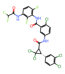 O=C(Nc1c(F)ccc(NC(=O)C(F)F)c1F)c1cc(NC(=O)C2[C@H](c3ccc(Cl)c(Cl)c3)C2(Cl)Cl)ccc1Cl